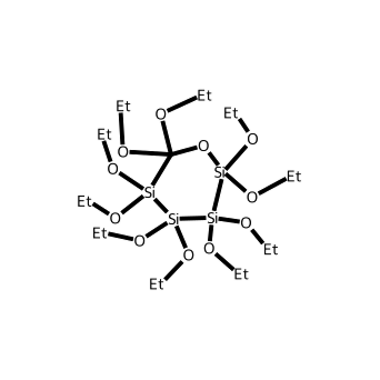 CCOC1(OCC)O[Si](OCC)(OCC)[Si](OCC)(OCC)[Si](OCC)(OCC)[Si]1(OCC)OCC